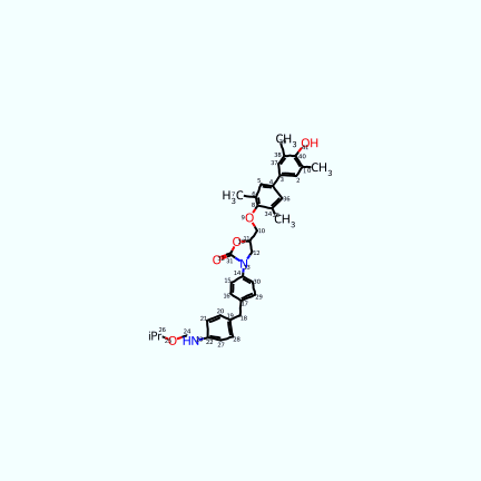 Cc1cc(-c2cc(C)c(OCC3CN(c4ccc(Cc5ccc(NCOC(C)C)cc5)cc4)C(=O)O3)c(C)c2)cc(C)c1O